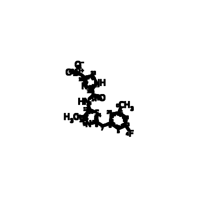 Cc1cc(F)cc(Cc2nc(C)c(NC(=O)c3nc([N+](=O)[O-])c[nH]3)s2)c1